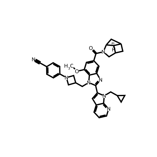 COc1cc(C(=O)N2CC3CC4CC2[C@H]43)cc2nc(-c3cc4cccnc4n3CC3CC3)n(CC3CN(c4ccc(C#N)cc4)C3)c12